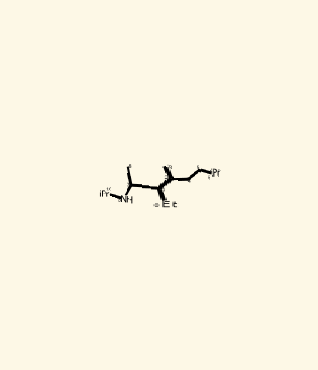 CCC(C(C)CCC(C)C)C(C)NC(C)C